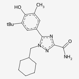 Cc1cc(-c2nc(C(N)=O)nn2CC2CCCCC2)cc(C(C)(C)C)c1O